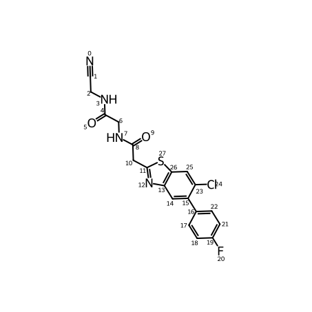 N#CCNC(=O)CNC(=O)Cc1nc2cc(-c3ccc(F)cc3)c(Cl)cc2s1